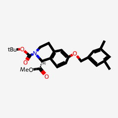 COC(=O)[C@H]1c2ccc(OCc3cc(C)cc(C)c3)cc2CCN1C(=O)OC(C)(C)C